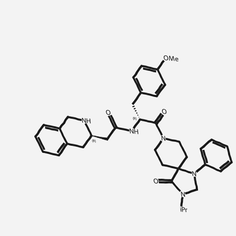 COc1ccc(C[C@@H](NC(=O)C[C@H]2Cc3ccccc3CN2)C(=O)N2CCC3(CC2)C(=O)N(C(C)C)CN3c2ccccc2)cc1